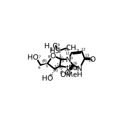 CO[C@]1(C(C)(C)C)[C@H](O)[C@@H](CO)O[C@]1(n1ccc(=O)[nH]c1=O)[SiH](C)C